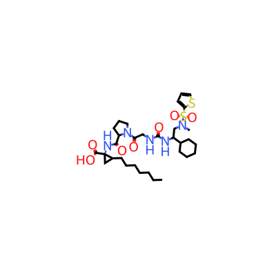 CCCCCCCC1C[C@]1(NC(=O)C1CCCN1C(=O)CNC(=O)NC(CN(C)S(=O)(=O)c1cccs1)C1CCCCC1)C(=O)O